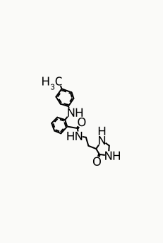 Cc1ccc(Nc2ccccc2C(=O)NCCC2NCNC2=O)cc1